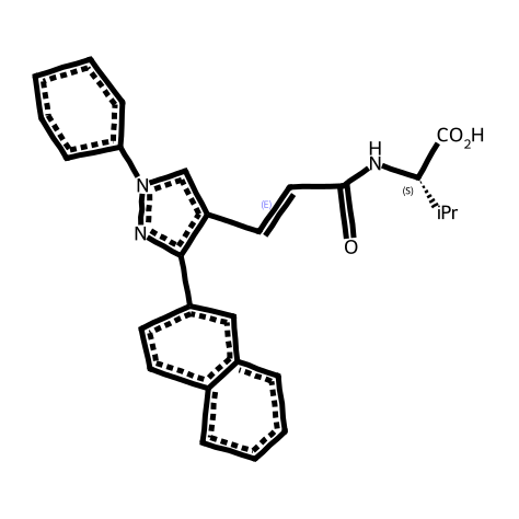 CC(C)[C@H](NC(=O)/C=C/c1cn(-c2ccccc2)nc1-c1ccc2ccccc2c1)C(=O)O